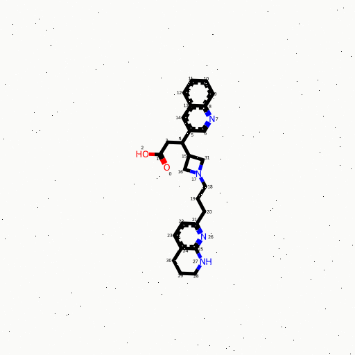 O=C(O)CC(c1cnc2ccccc2c1)C1CN(CCCc2ccc3c(n2)NCCC3)C1